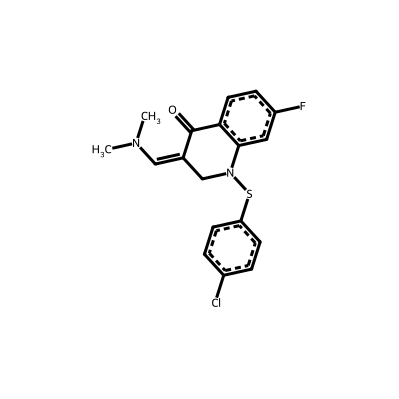 CN(C)/C=C1/CN(Sc2ccc(Cl)cc2)c2cc(F)ccc2C1=O